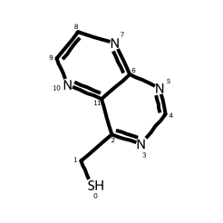 SCc1ncnc2nccnc12